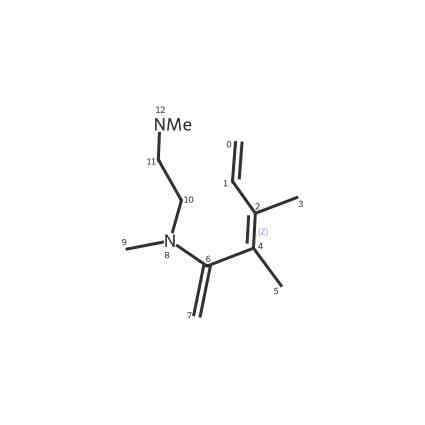 C=C/C(C)=C(/C)C(=C)N(C)CCNC